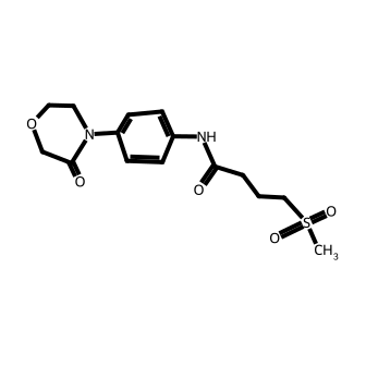 CS(=O)(=O)CCCC(=O)Nc1ccc(N2CCOCC2=O)cc1